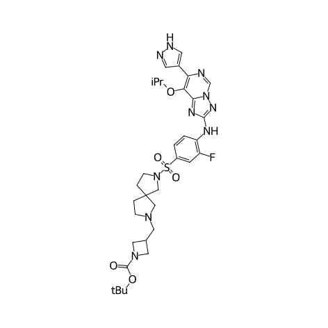 CC(C)Oc1c(-c2cn[nH]c2)ncn2nc(Nc3ccc(S(=O)(=O)N4CCC5(CCN(CC6CN(C(=O)OC(C)(C)C)C6)C5)C4)cc3F)nc12